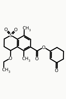 CCOC1CCS(=O)(=O)c2c(C)cc(C(=O)OC3=CC(=O)CCC3)c(C)c21